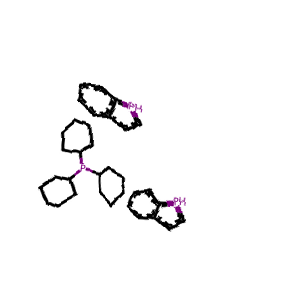 C1CCC(P(C2CCCCC2)C2CCCCC2)CC1.c1ccc2[pH]ccc2c1.c1ccc2[pH]ccc2c1